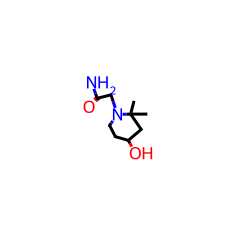 CC1(C)CC(O)CCN1CC(N)=O